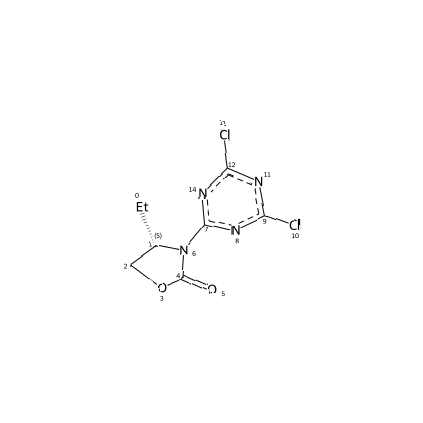 CC[C@H]1COC(=O)N1c1nc(Cl)nc(Cl)n1